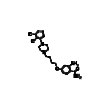 NC(=O)c1ccc(OCCCCN2CCN(c3cccc(Cl)c3Cl)CC2)cc1N